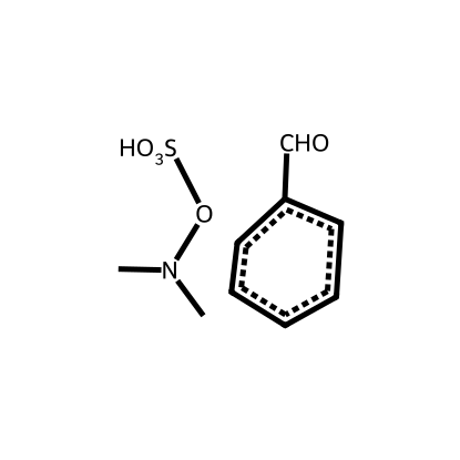 CN(C)OS(=O)(=O)O.O=Cc1ccccc1